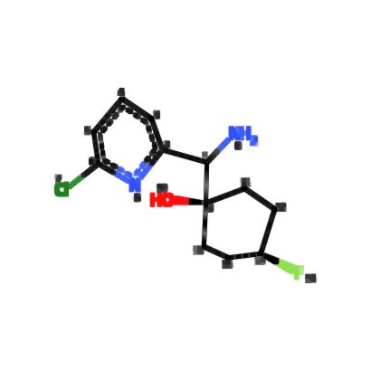 NC(c1cccc(Cl)n1)[C@]1(O)CC[C@@H](F)CC1